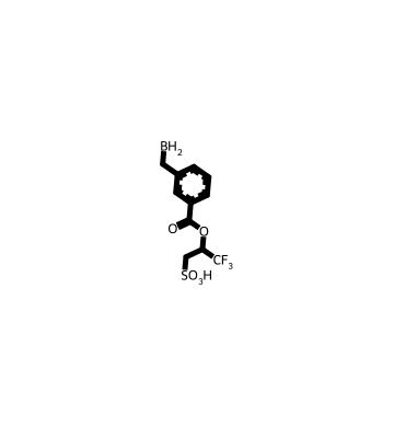 BCc1cccc(C(=O)OC(CS(=O)(=O)O)C(F)(F)F)c1